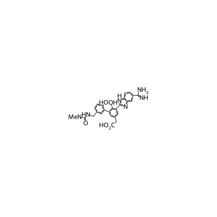 CNC(=O)NCc1ccc(O)c(-c2cc(CC(=O)O)cc(-c3nc4cc(C(=N)N)ccc4[nH]3)c2O)c1